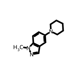 Cn1ncc2cc(N3CCCCC3)ccc21